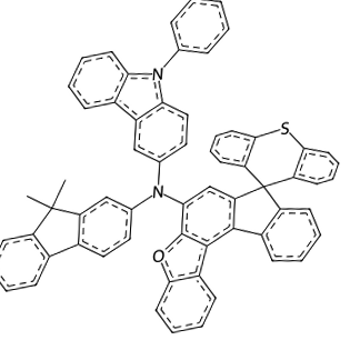 CC1(C)c2ccccc2-c2ccc(N(c3ccc4c(c3)c3ccccc3n4-c3ccccc3)c3cc4c(c5c3oc3ccccc35)-c3ccccc3C43c4ccccc4Sc4ccccc43)cc21